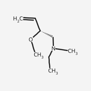 C=C[C@H](CN(C)CC)OC